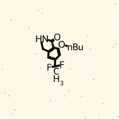 CCCCOc1cc(C(C)(F)F)cc2c1C(=O)NCC2